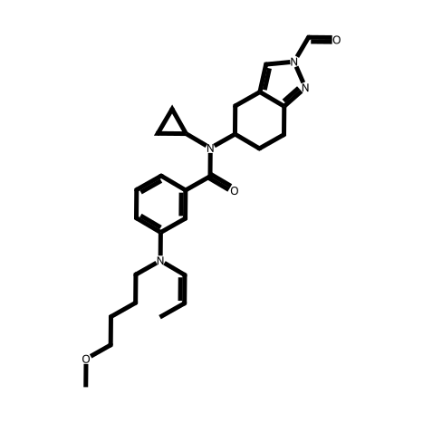 C/C=C\N(CCCCOC)c1cccc(C(=O)N(C2CC2)C2CCc3nn(C=O)cc3C2)c1